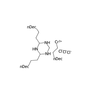 CCCCCCCCCCCCC1NCNC(CCCCCCCCCCCC)N1.CCCCCCCCCCC[CH2][Cr+3].[Cl-].[Cl-].[Cl-]